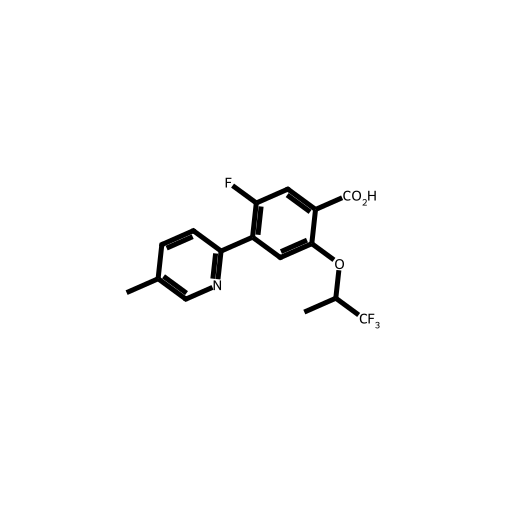 Cc1ccc(-c2cc(OC(C)C(F)(F)F)c(C(=O)O)cc2F)nc1